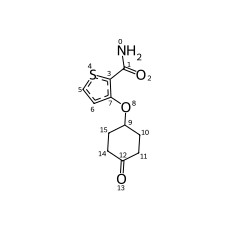 NC(=O)c1sccc1OC1CCC(=O)CC1